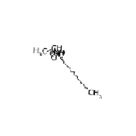 CCCCCCCCCCCCCCCCCCCC(=O)N[N+](C)(C)CCC